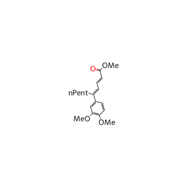 CCCCC/C(=C\C=C\C(=O)OC)c1ccc(OC)c(OC)c1